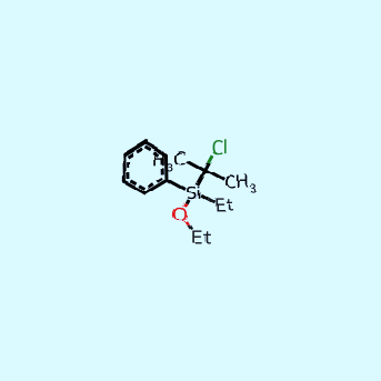 CCO[Si](CC)(c1ccccc1)C(C)(C)Cl